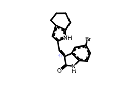 O=C1Nc2ccc(Br)cc2/C1=C\c1cc2c([nH]1)CCCC2